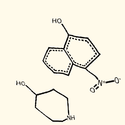 O=[N+]([O-])c1ccc(O)c2ccccc12.OC1CCNCC1